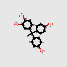 CC(c1ccc(O)cc1)(c1ccc(O)cc1)c1ccc(O)c(O)c1